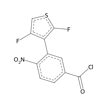 O=C(Cl)c1ccc([N+](=O)[O-])c(-c2c(F)csc2F)c1